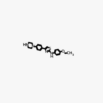 CCOc1ccc(Nc2nc(-c3ccc(N4CCNCC4)cc3)cs2)cc1